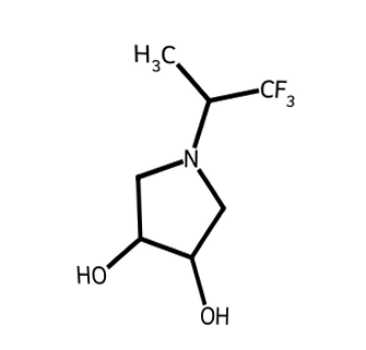 CC(N1CC(O)C(O)C1)C(F)(F)F